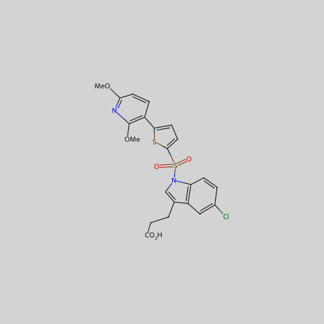 COc1ccc(-c2ccc(S(=O)(=O)n3cc(CCC(=O)O)c4cc(Cl)ccc43)s2)c(OC)n1